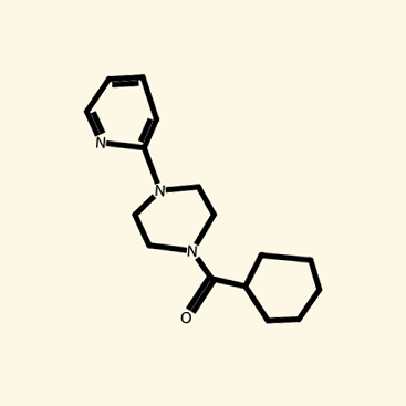 O=C(C1CCCCC1)N1CCN(c2ccccn2)CC1